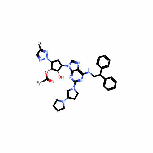 CCc1cnn([C@H]2C[C@@H](n3cnc4c(NCC(c5ccccc5)c5ccccc5)nc(N5CC[C@@H](N6CCCC6)C5)nc43)[C@H](O)[C@@H]2OC(=O)C(F)(F)F)n1